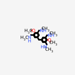 CNCc1cc(Cc2cc(CNC)c(OC)c(CNC)c2)cc(CNC)c1OC